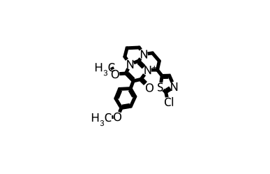 COc1ccc(-c2c(OC)n3c4[n+](c2=O)C(c2cnc(Cl)s2)CCN4CCC3)cc1